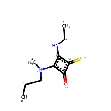 CCCN(C)c1c(NCC)c(=S)c1=O